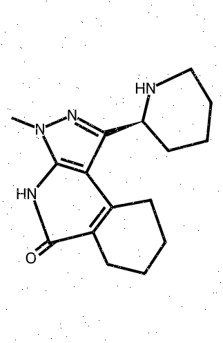 Cn1nc([C@@H]2CCCCN2)c2c3c(c(=O)[nH]c21)CCCC3